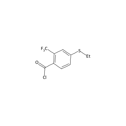 CCSc1ccc(C(=O)Cl)c(C(F)(F)F)c1